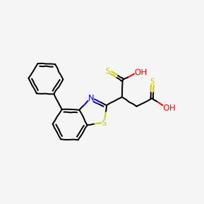 OC(=S)CC(C(O)=S)c1nc2c(-c3ccccc3)cccc2s1